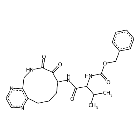 CC(C)C(NC(=O)OCc1ccccc1)C(=O)NC1CCCc2nccnc2CNC(=O)C1=O